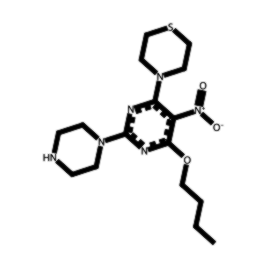 CCCCOc1nc(N2CCNCC2)nc(N2CCSCC2)c1[N+](=O)[O-]